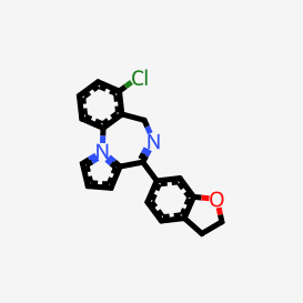 Clc1cccc2c1CN=C(c1ccc3c(c1)OCC3)c1cccn1-2